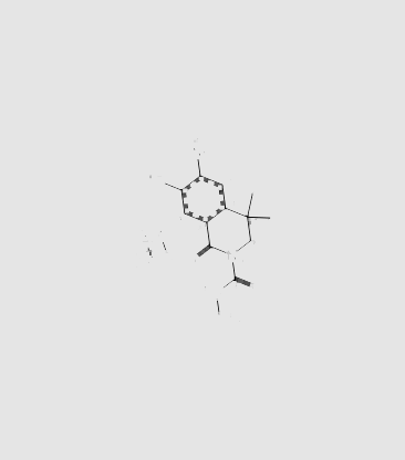 CC(=O)[O-].CC(=O)[O-].CCCCOC(=O)N1CC(C)(C)c2cc([N+](=O)[O-])c(F)cc2C1=O.[Pd+2]